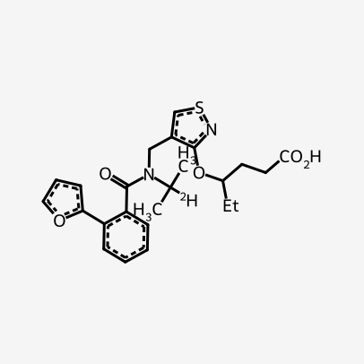 [2H]C(C)(C)N(Cc1csnc1OC(CC)CCC(=O)O)C(=O)c1ccccc1-c1ccco1